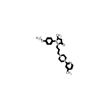 COc1ccc(N2C(C)CC(=O)N2CCCN2CCN(c3cc(C)ccn3)CC2)cc1